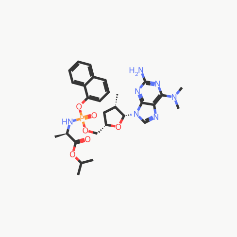 CC(C)OC(=O)[C@@H](C)NP(=O)(OC[C@@H]1C[C@H](C)[C@H](n2cnc3c(N(C)C)nc(N)nc32)O1)Oc1cccc2ccccc12